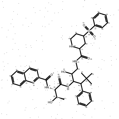 C[C@@H](O)[C@H](NC(=O)c1ccc2ccccc2n1)C(=O)NC(C(O)CNC(=O)C1CC(S(=O)(=O)c2ccccc2)CCN1)C(c1ccccc1)C(C)(C)C